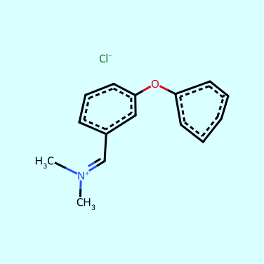 C[N+](C)=Cc1cccc(Oc2ccccc2)c1.[Cl-]